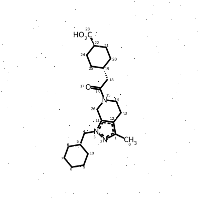 Cc1nn(CC2CCCCC2)c2c1CCN(C(=O)C[C@H]1CC[C@H](C(=O)O)CC1)C2